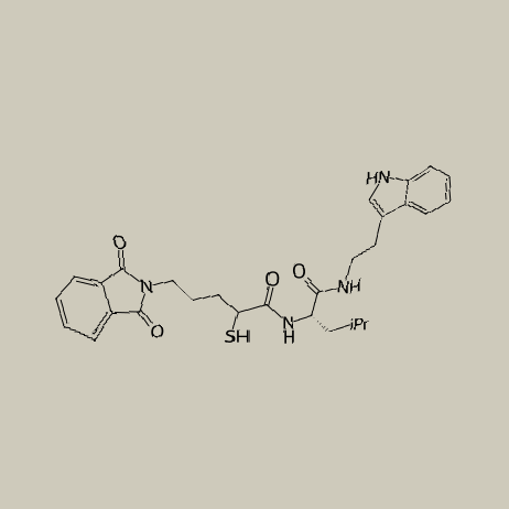 CC(C)C[C@H](NC(=O)C(S)CCCN1C(=O)c2ccccc2C1=O)C(=O)NCCc1c[nH]c2ccccc12